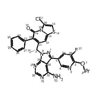 CC(C)Oc1ncc(-c2nn([C@H](C)c3cc4scc(Cl)n4c(=O)c3-c3ccccc3)c3ncnc(N)c23)cc1F